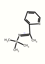 C/C(=N\[Si](C)(C)C)c1ccccn1